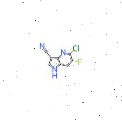 N#Cc1c[nH]c2cc(F)c(Cl)nc12